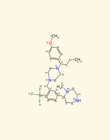 CCCC(c1ccc(OC)cc1)N1CCN(Cc2cc(C3CCNCCN3C)ccc2C(F)(F)F)CC1